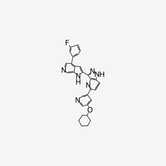 Fc1cccc(-c2cncc3[nH]c(-c4n[nH]c5ccc(-c6cncc(OC7CCCCC7)c6)nc45)cc23)c1